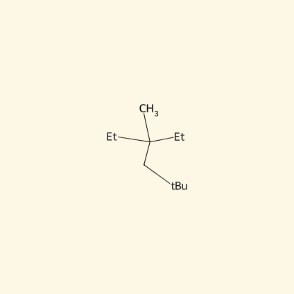 [CH2]C(C)(C)CC(C)(CC)CC